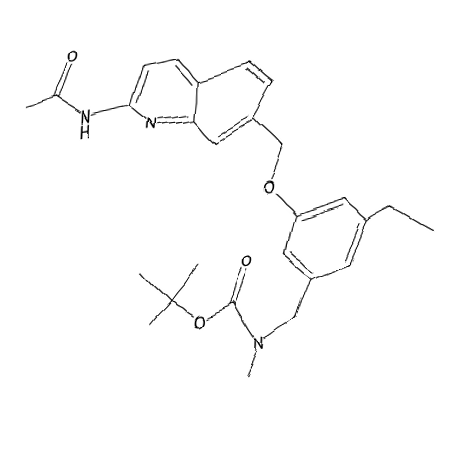 CCc1cc(CN(C)C(=O)OC(C)(C)C)cc(OCc2ccc3ccc(NC(C)=O)nc3c2)c1